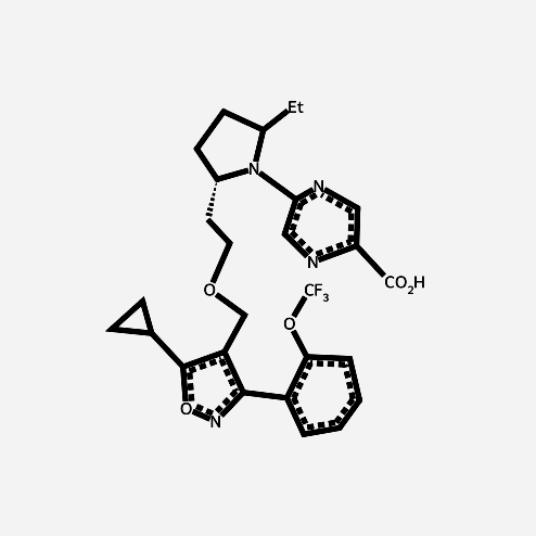 CCC1CC[C@@H](CCOCc2c(-c3ccccc3OC(F)(F)F)noc2C2CC2)N1c1cnc(C(=O)O)cn1